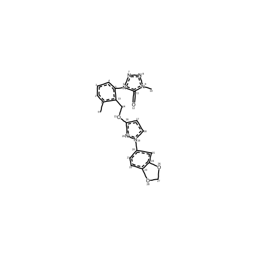 Cc1cccc(-n2nnn(C)c2=O)c1COc1ccn(-c2ccc3c(c2)OCO3)n1